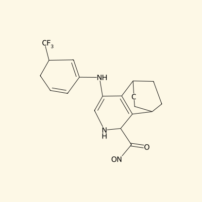 O=NC(=O)C1NC=C(NC2=CC(C(F)(F)F)CC=C2)C2=C1C1CCC2CC1